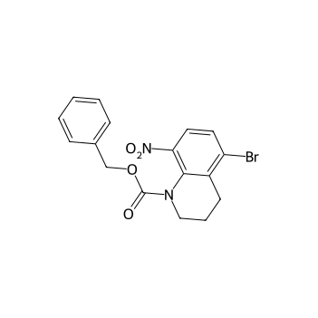 O=C(OCc1ccccc1)N1CCCc2c(Br)ccc([N+](=O)[O-])c21